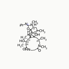 CC(C)/N=C1\O[C@H]2[C@H](O[C@@H]3[C@@H](C)[C@H](O)[C@@H](C)C(=O)NCCC(=O)N(C)C[C@H](C)C[C@@]3(C)O)O[C@H](C)C[C@@H]2N1C